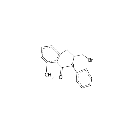 Cc1cccc2c1C(=O)N(c1ccccc1)C(CBr)C2